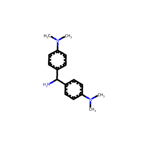 CN(C)c1ccc(C(N)c2ccc(N(C)C)cc2)cc1